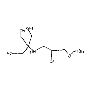 CCCCOCC(O)CNC(CO)(CO)CO